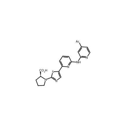 CC(=O)c1ccnc(Nc2cccc(-c3cnc(N4CCC[C@H]4C(=O)O)s3)n2)c1